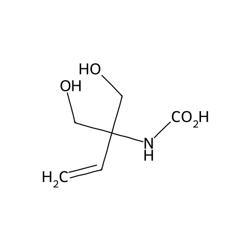 C=CC(CO)(CO)NC(=O)O